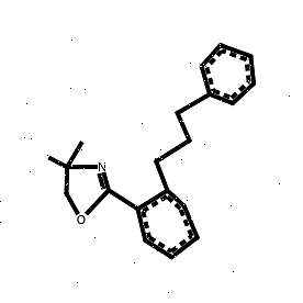 CC1(C)COC(c2ccccc2CCCc2ccccc2)=N1